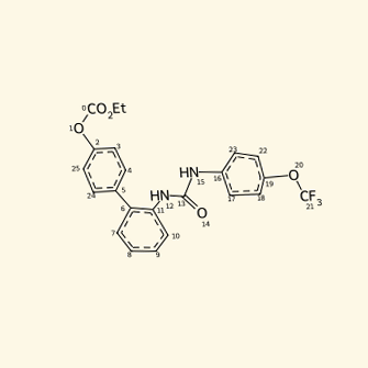 CCOC(=O)Oc1ccc(-c2ccccc2NC(=O)Nc2ccc(OC(F)(F)F)cc2)cc1